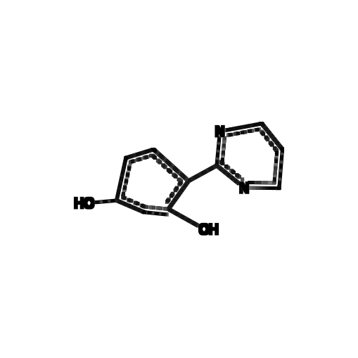 Oc1ccc(-c2ncccn2)c(O)c1